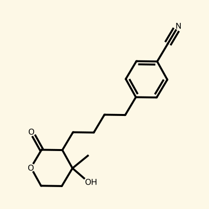 CC1(O)CCOC(=O)C1CCCCc1ccc(C#N)cc1